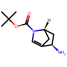 CC(C)(C)OC(=O)N1C=C2C[C@H]1C[C@H]2N